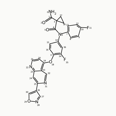 NC(=O)C1(C(=O)N(c2ccc(F)cc2)c2ccc(Oc3ccnc4cc(-c5cnoc5)ncc34)c(F)c2)CC1